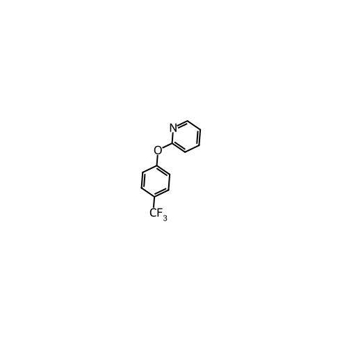 FC(F)(F)c1ccc(Oc2ccccn2)cc1